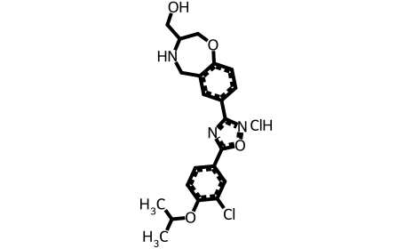 CC(C)Oc1ccc(-c2nc(-c3ccc4c(c3)CNC(CO)CO4)no2)cc1Cl.Cl